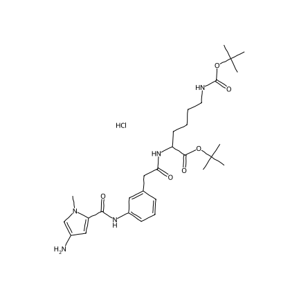 Cl.Cn1cc(N)cc1C(=O)Nc1cccc(CC(=O)NC(CCCCNC(=O)OC(C)(C)C)C(=O)OC(C)(C)C)c1